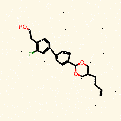 C=CCCC1COC(c2ccc(-c3ccc(CCO)c(F)c3)cc2)OC1